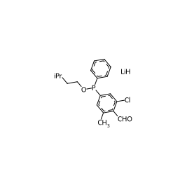 Cc1cc(P(OCCC(C)C)c2ccccc2)cc(Cl)c1C=O.[LiH]